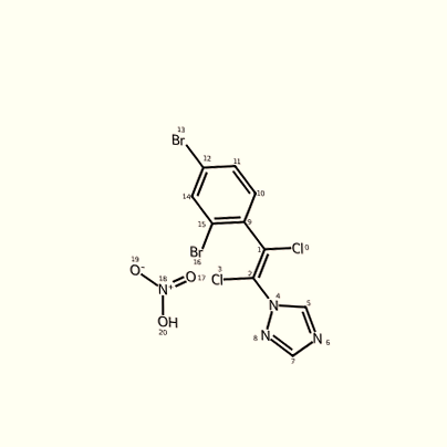 ClC(=C(Cl)n1cncn1)c1ccc(Br)cc1Br.O=[N+]([O-])O